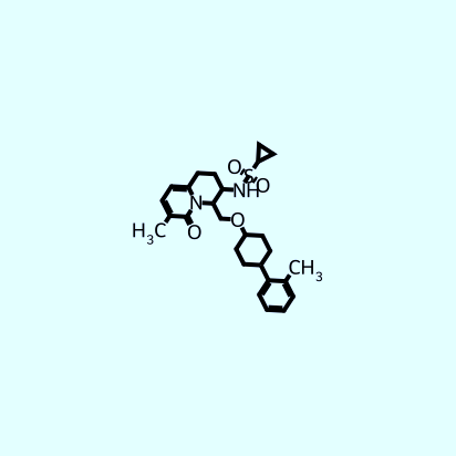 Cc1ccccc1C1CCC(OCC2C(NS(=O)(=O)C3CC3)CCc3ccc(C)c(=O)n32)CC1